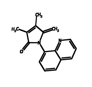 C=C1C(C)=C(C)C(=O)N1c1cccc2cccnc12